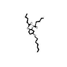 CCCCCCCOc1ccc(OC(=O)CCCC)c(OC(=O)CCCC)c1